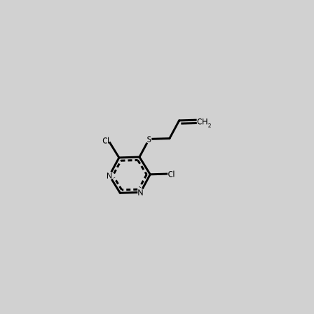 C=CCSc1c(Cl)ncnc1Cl